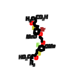 COc1cc2sc(C(=O)C[C@H](C)C(=O)O)cc2c(F)c1OCCCOc1c(OC)cc2sc(C(=O)C[C@H](C)C(=O)O)cc2c1Br